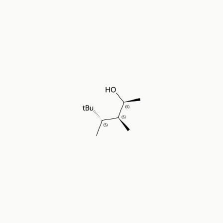 C[C@H]([C@H](C)O)[C@H](C)C(C)(C)C